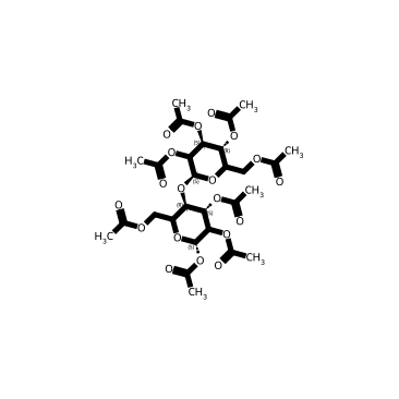 CC(=O)OCC1O[C@@H](O[C@@H]2C(COC(C)=O)O[C@@H](OC(C)=O)C(OC(C)=O)[C@H]2OC(C)=O)C(OC(C)=O)[C@@H](OC(C)=O)[C@@H]1OC(C)=O